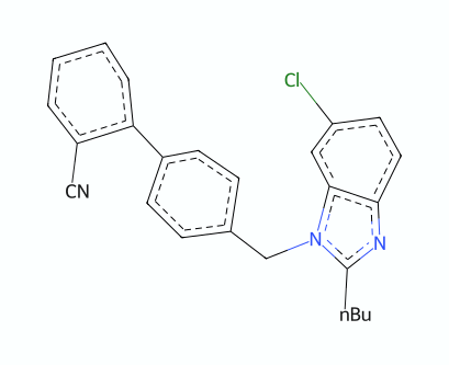 CCCCc1nc2ccc(Cl)cc2n1Cc1ccc(-c2ccccc2C#N)cc1